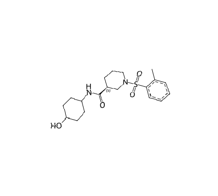 Cc1ccccc1S(=O)(=O)N1CCC[C@H](C(=O)NC2CCC(O)CC2)C1